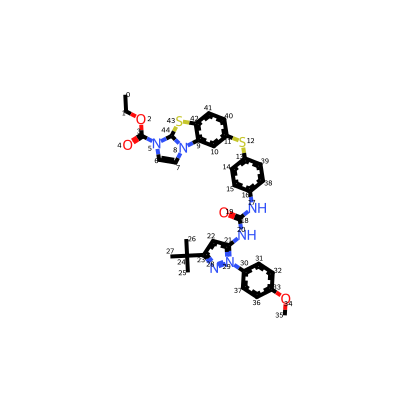 CCOC(=O)N1C=CN2c3cc(Sc4ccc(NC(=O)Nc5cc(C(C)(C)C)nn5-c5ccc(OC)cc5)cc4)ccc3SC12